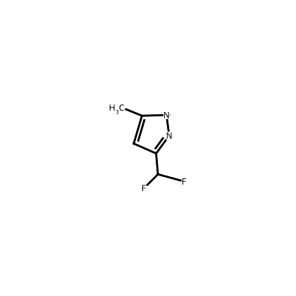 CC1=CC(C(F)F)=N[N]1